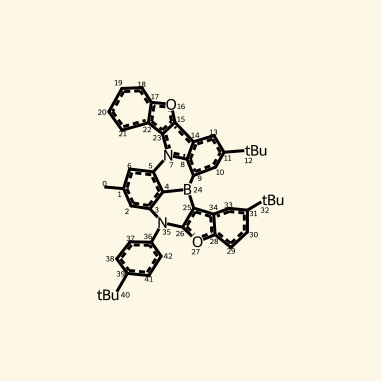 Cc1cc2c3c(c1)-n1c4c(cc(C(C)(C)C)cc4c4oc5ccccc5c41)B3c1c(oc3ccc(C(C)(C)C)cc13)N2c1ccc(C(C)(C)C)cc1